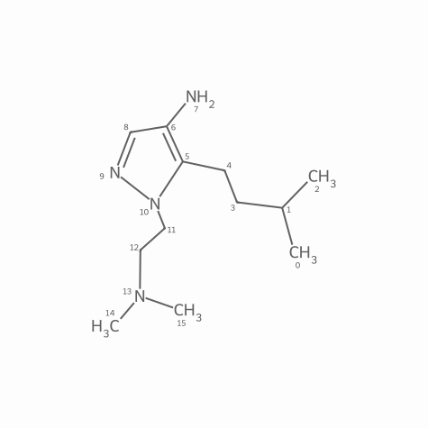 CC(C)CCc1c(N)cnn1CCN(C)C